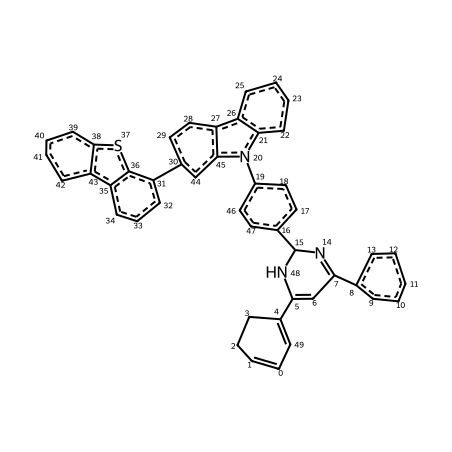 C1=CCCC(C2=CC(c3ccccc3)=NC(c3ccc(-n4c5ccccc5c5ccc(-c6cccc7c6sc6ccccc67)cc54)cc3)N2)=C1